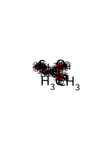 CC1(C)c2ccccc2-c2cc(N(c3ccc(-c4cccc5c4ccc4sc6ccccc6c45)cc3)c3ccc4oc5ccccc5c4c3)ccc21